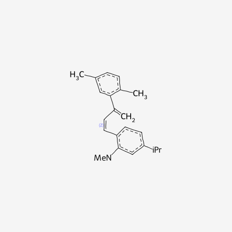 C=C(/C=C\c1ccc(C(C)C)cc1NC)c1cc(C)ccc1C